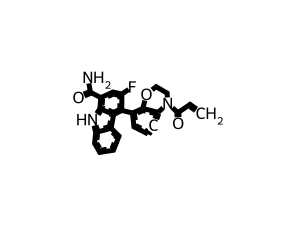 C=CC(=O)N1CCOc2c(-c3c(F)cc(C(N)=O)c4[nH]c5ccccc5c34)cccc21